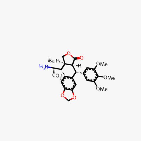 CC[C@H](C)[C@](N)(C(=O)O)[C@H]1c2cc3c(cc2[C@@H](c2cc(OC)c(OC)c(OC)c2)[C@@H]2C(=O)OC[C@@H]21)OCO3